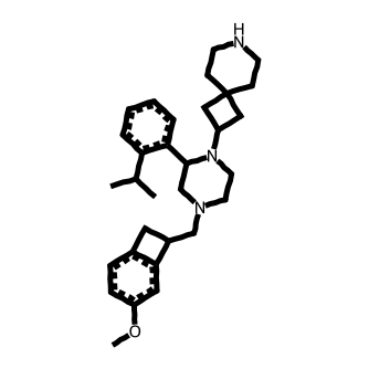 COc1ccc2c(c1)C(CN1CCN(C3CC4(CCNCC4)C3)C(c3ccccc3C(C)C)C1)C2